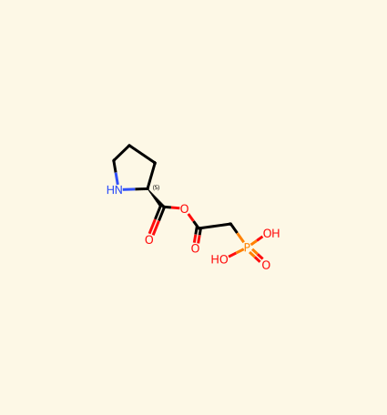 O=C(CP(=O)(O)O)OC(=O)[C@@H]1CCCN1